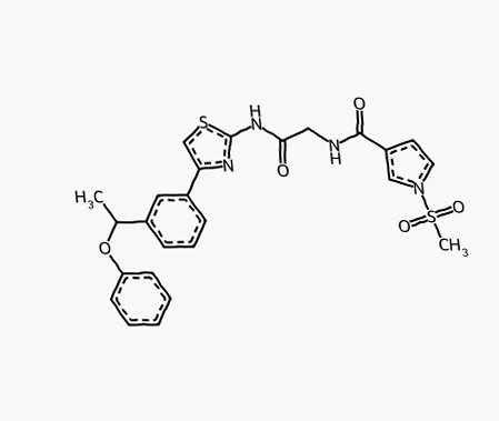 CC(Oc1ccccc1)c1cccc(-c2csc(NC(=O)CNC(=O)c3ccn(S(C)(=O)=O)c3)n2)c1